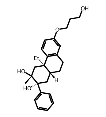 CC[C@@]12C[C@@](C)(O)[C@](O)(c3ccccc3)C[C@H]1CCc1cc(OCCCO)ccc12